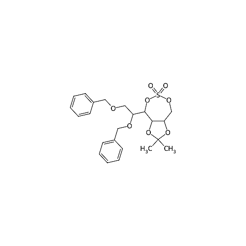 CC1(C)OC2COS(=O)(=O)OC(C(COCc3ccccc3)OCc3ccccc3)C2O1